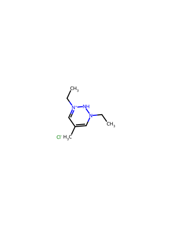 CCN1C=C(C)C=[N+](CC)N1.[Cl-]